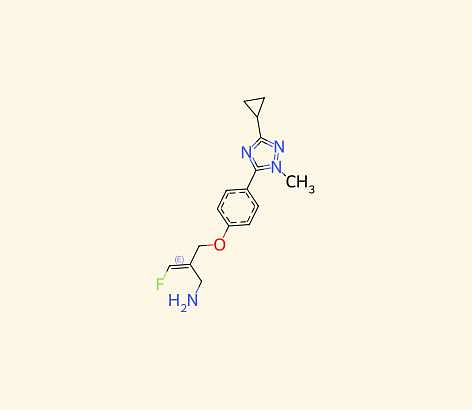 Cn1nc(C2CC2)nc1-c1ccc(OC/C(=C/F)CN)cc1